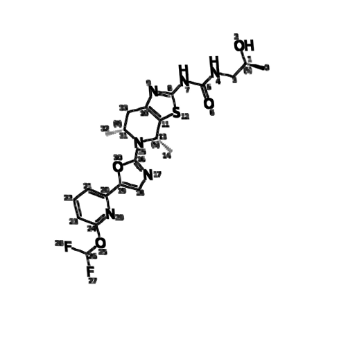 C[C@H](O)CNC(=O)Nc1nc2c(s1)[C@H](C)N(c1ncc(-c3cccc(OC(F)F)n3)o1)[C@H](C)C2